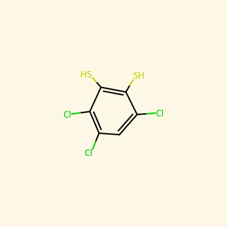 Sc1c(Cl)cc(Cl)c(Cl)c1S